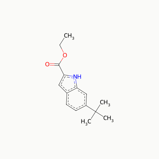 CCOC(=O)c1cc2ccc(C(C)(C)C)cc2[nH]1